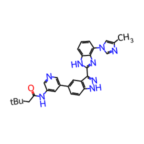 Cc1cn(-c2cccc3[nH]c(-c4n[nH]c5ccc(-c6cncc(NC(=O)CC(C)(C)C)c6)cc45)nc23)cn1